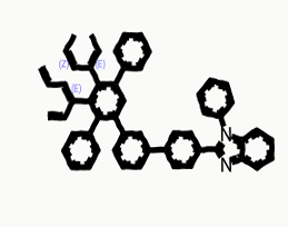 C=C/C=C(\C=C)c1c(C(/C=C\C)=C/C)c(-c2ccccc2)cc(-c2cccc(-c3ccc(-c4nc5ccccc5n4-c4ccccc4)cc3)c2)c1-c1ccccc1